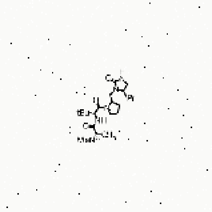 CN[C@@H](C)C(=O)NC(C(=O)N1CCCC1CN1C(=O)NCC1C(C)C)C(C)(C)C